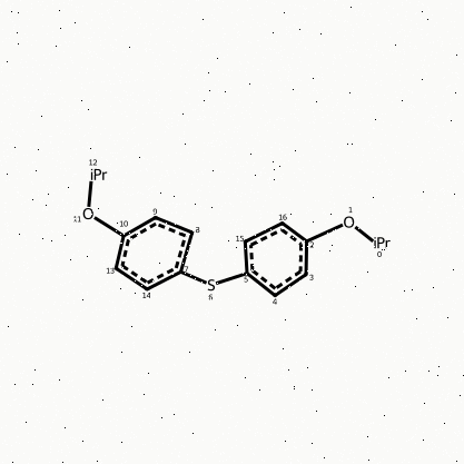 CC(C)Oc1ccc(Sc2ccc(OC(C)C)cc2)cc1